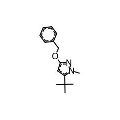 Cn1nc(OCc2ccccc2)cc1C(C)(C)C